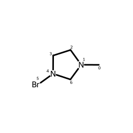 CN1CCN(Br)C1